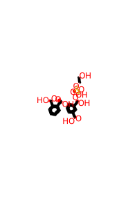 O=C(O)c1cccc(C(=O)O)c1.O=C(O)c1ccccc1C(=O)O.O=S(=O)(O)OCCO